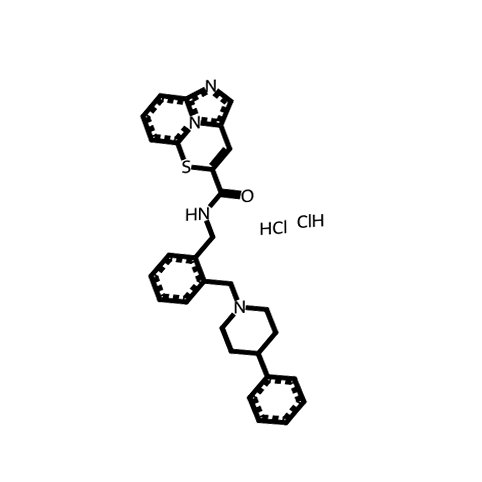 Cl.Cl.O=C(NCc1ccccc1CN1CCC(c2ccccc2)CC1)C1=Cc2cnc3cccc(n23)S1